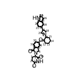 O=C1CCC(N2Cc3cc(O[C@@H]4CCCC[C@H]4N4CC(c5ccc6[nH]ncc6c5)C4)ccc3C2=O)C(=O)N1